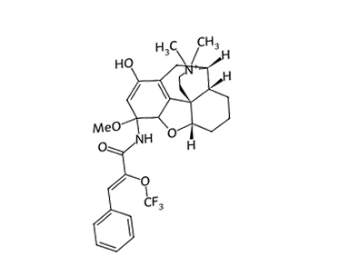 COC1(NC(=O)C(=Cc2ccccc2)OC(F)(F)F)C=C(O)C2=C3C1O[C@H]1CCC[C@H]4[C@@H](C2)[N+](C)(C)CC[C@]314